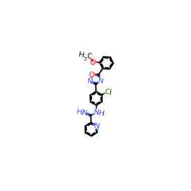 COc1ccccc1-c1nc(-c2ccc(NC(=N)c3ccccn3)cc2Cl)no1